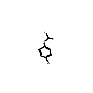 CC(=O)c1ccc(OC(Cl)I)cc1